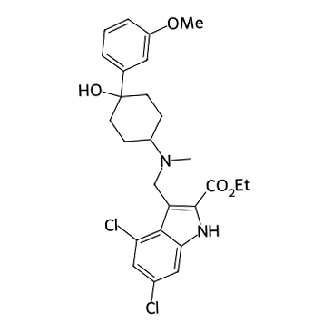 CCOC(=O)c1[nH]c2cc(Cl)cc(Cl)c2c1CN(C)C1CCC(O)(c2cccc(OC)c2)CC1